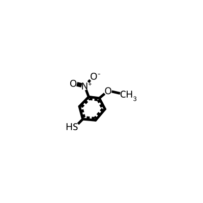 COc1ccc(S)cc1[N+](=O)[O-]